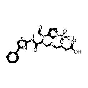 CS(=O)(=O)n1ccc(N(C=O)[C@@H](COCCCC(=O)O)C(=O)Nc2nc(-c3ccccc3)cs2)c1